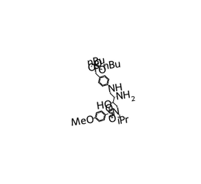 CCCCOP(=O)(Cc1ccc(NC[C@H](N)[C@H](O)CN(CC(C)C)S(=O)(=O)c2ccc(OC)cc2)cc1)OCCCC